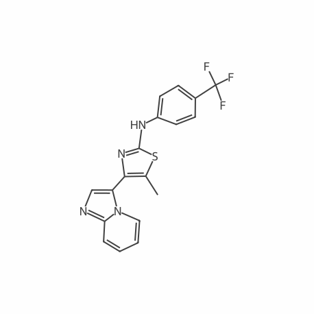 Cc1sc(Nc2ccc(C(F)(F)F)cc2)nc1-c1cnc2ccccn12